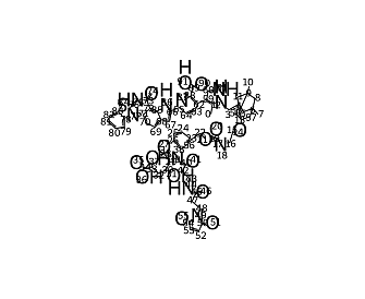 C/C(NCC12CC3(C)CC(C)(C1)CC(OCCN(C)C(=O)OCc1ccc(O[C@H]4C[C@@H](O)C[C@@H](C(=O)O)O4)c(NC(=O)CCNC(=O)CCN4C(=O)C=CC4=O)c1)(C3)C2)=C(/C=N)c1ccc(-c2cc3cccc(C(=O)Nc4nc5ccccc5s4)c3[nH]2)nc1C(=O)O